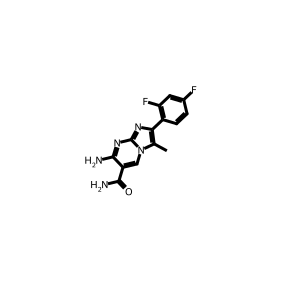 Cc1c(-c2ccc(F)cc2F)nc2nc(N)c(C(N)=O)cn12